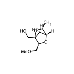 COC[C@@H]1O[C@H]2[C@H](C)O[C@]1(CO)[C@H]2O